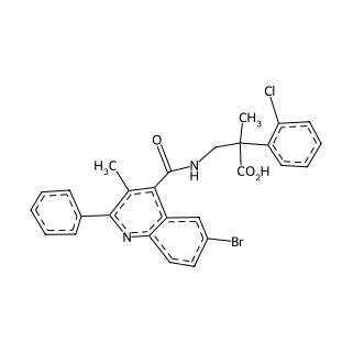 Cc1c(-c2ccccc2)nc2ccc(Br)cc2c1C(=O)NCC(C)(C(=O)O)c1ccccc1Cl